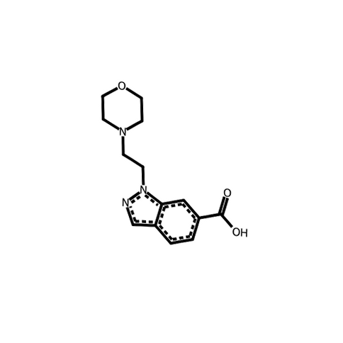 O=C(O)c1ccc2cnn(CCN3CCOCC3)c2c1